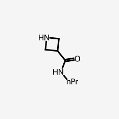 CCCNC(=O)C1CNC1